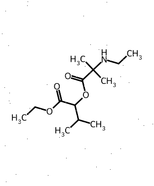 CCNC(C)(C)C(=O)OC(C(=O)OCC)C(C)C